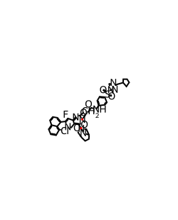 C=CCOC(=O)N1C2CCC1CN(c1nc(OCC(=O)Nc3ccc(S(=O)(=O)n4cnc(C5CCCC5)n4)cc3)nc3c(F)c(-c4cccc5cccc(Cl)c45)ncc13)C2